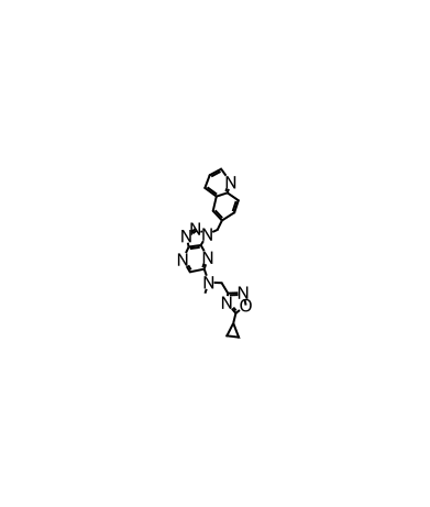 CN(Cc1noc(C2CC2)n1)c1cnc2nnn(Cc3ccc4ncccc4c3)c2n1